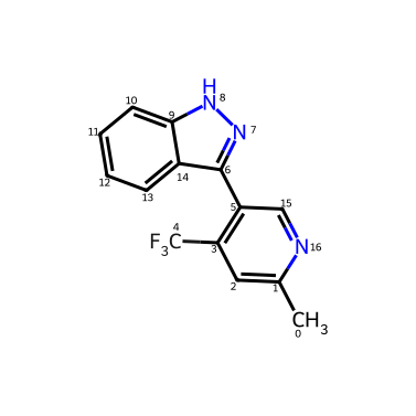 Cc1cc(C(F)(F)F)c(-c2n[nH]c3ccccc23)cn1